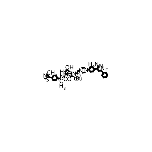 Cc1ncsc1-c1ccc([C@H](C)NC(=O)[C@@H]2C[C@@H](O)CN2C(=O)C(NC(=O)CN2CCN(c3ccc(-c4cc(-c5ccccc5F)nnc4N)cc3)CC2)C(C)(C)C)cc1